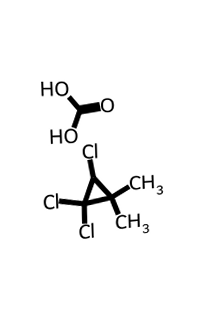 CC1(C)C(Cl)C1(Cl)Cl.O=C(O)O